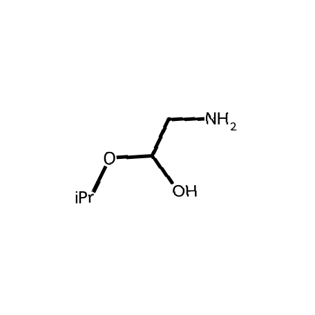 CC(C)OC(O)CN